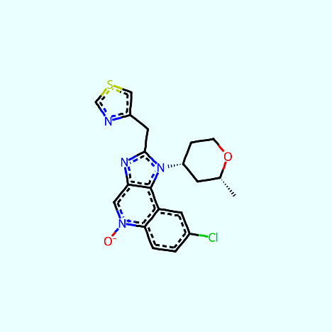 C[C@@H]1C[C@H](n2c(Cc3cscn3)nc3c[n+]([O-])c4ccc(Cl)cc4c32)CCO1